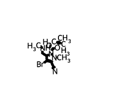 CNCC1C(Br)=C(C#N)N(C)N1C(=O)OC(C)(C)C